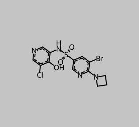 O=S(=O)(Nc1cncc(Cl)c1O)c1cnc(N2CCC2)c(Br)c1